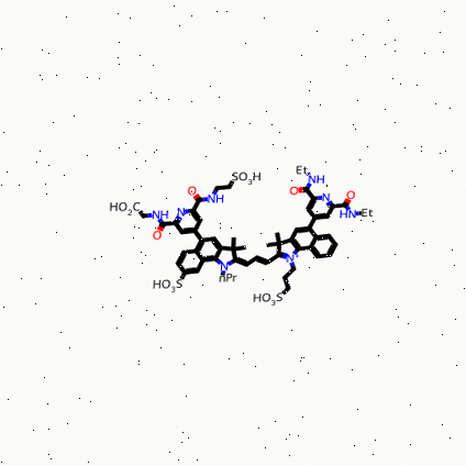 CCCN1/C(=C/C=C/C2=[N+](CCCS(=O)(=O)O)c3c(cc(-c4cc(C(=O)NCC)nc(C(=O)NCC)c4)c4ccccc34)C2(C)C)C(C)(C)c2cc(-c3cc(C(=O)NCCS(=O)(=O)O)nc(C(=O)NCC(=O)O)c3)c3ccc(S(=O)(=O)O)cc3c21